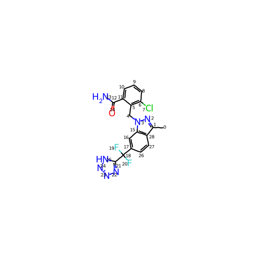 Cc1nn(Cc2c(Cl)cccc2C(N)=O)c2cc(C(F)(F)c3nnn[nH]3)ccc12